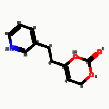 O=C1OCC=C(CCc2cccnc2)O1